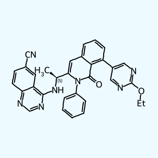 CCOc1ncc(-c2cccc3cc([C@H](C)Nc4ncnc5ccc(C#N)cc45)n(-c4ccccc4)c(=O)c23)cn1